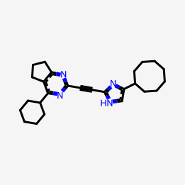 C(#Cc1nc(C2CCCCCCC2)c[nH]1)c1nc2c(c(C3CCCCC3)n1)CCC2